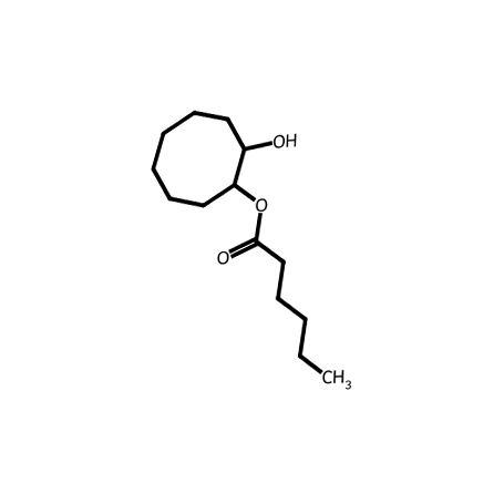 CCCCCC(=O)OC1CCCCCCC1O